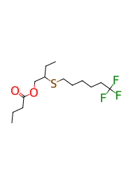 CCCC(=O)OCC(CC)SCCCCCC(F)(F)F